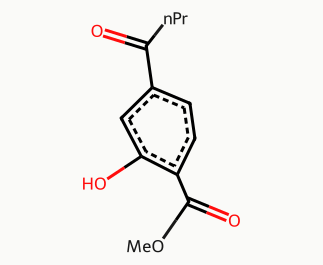 CCCC(=O)c1ccc(C(=O)OC)c(O)c1